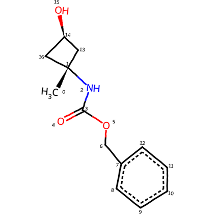 C[C@]1(NC(=O)OCc2ccccc2)C[C@H](O)C1